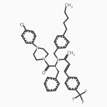 C=C(/C=C/c1ccc(C(F)(F)F)cc1)N(Cc1ccc(CCCCC)cc1)[C@@H](Cc1ccccc1)C(=O)N1CCN(c2ccc(Cl)cc2)CC1